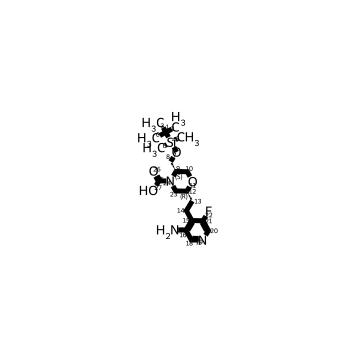 CC(C)(C)[Si](C)(C)OC[C@@H]1CO[C@H](CCc2c(N)cncc2F)CN1C(=O)O